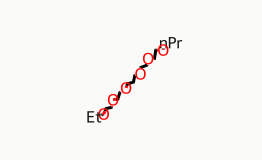 CCCOCCOCCOCCCOCCOCCOCC